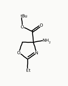 CCC1=NC(N)(C(=O)OC(C)(C)C)CO1